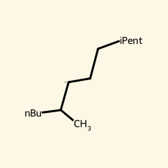 CCCCC(C)[CH]CCC(C)CCC